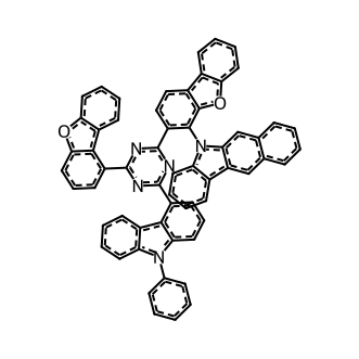 c1ccc(-n2c3ccccc3c3c(-c4nc(-c5ccc6c(oc7ccccc76)c5-n5c6ccccc6c6cc7ccccc7cc65)nc(-c5cccc6oc7ccccc7c56)n4)cccc32)cc1